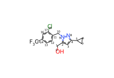 OCc1cc(C2CC2)nn1Cc1ccc(C(F)(F)F)cc1Cl